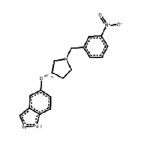 O=[N+]([O-])c1cccc(CN2CC[C@H](Oc3ccc4[nH]ncc4c3)C2)c1